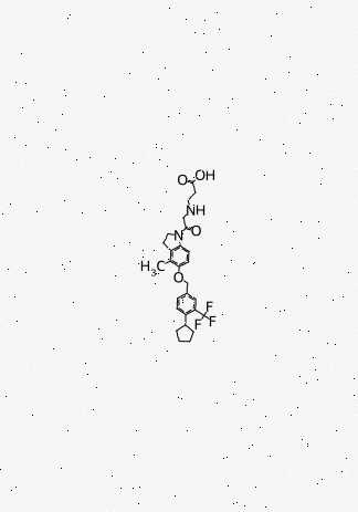 Cc1c(OCc2ccc(C3CCCC3)c(C(F)(F)F)c2)ccc2c1CCN2C(=O)CNCCC(=O)O